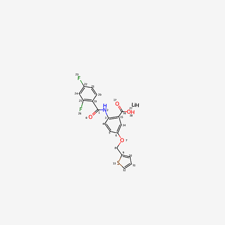 O=C(Nc1ccc(OCc2cccs2)cc1C(=O)O)c1ccc(F)cc1F.[LiH]